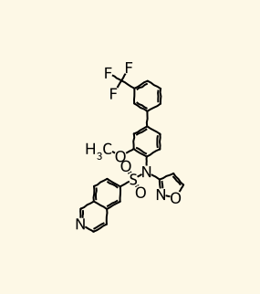 COc1cc(-c2cccc(C(F)(F)F)c2)ccc1N(c1ccon1)S(=O)(=O)c1ccc2cnccc2c1